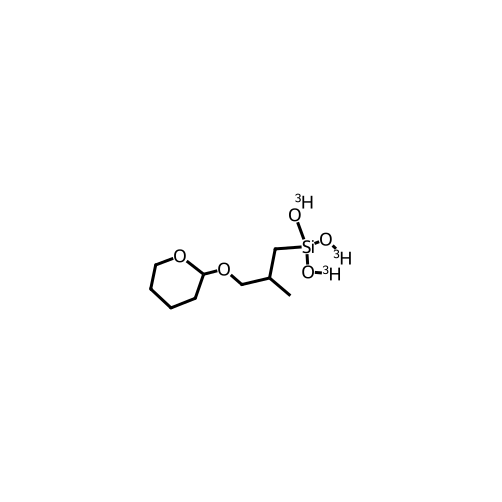 [3H]O[Si](CC(C)COC1CCCCO1)(O[3H])O[3H]